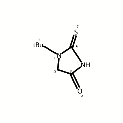 CC(C)(C)N1CC(=O)NC1=S